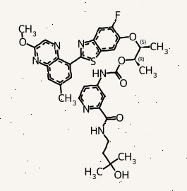 COc1cnc2c(-c3nc4cc(F)c(O[C@@H](C)[C@@H](C)OC(=O)Nc5ccnc(C(=O)NCCC(C)(C)O)c5)cc4s3)cc(C)cc2n1